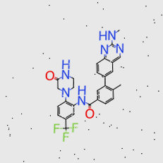 CNc1ncc2cc(-c3cc(C(=O)Nc4cc(C(F)(F)F)ccc4N4CCNC(=O)C4)ccc3C)ccc2n1